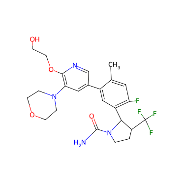 Cc1cc(F)c(C2C(C(F)(F)F)CCN2C(N)=O)cc1-c1cnc(OCCO)c(N2CCOCC2)c1